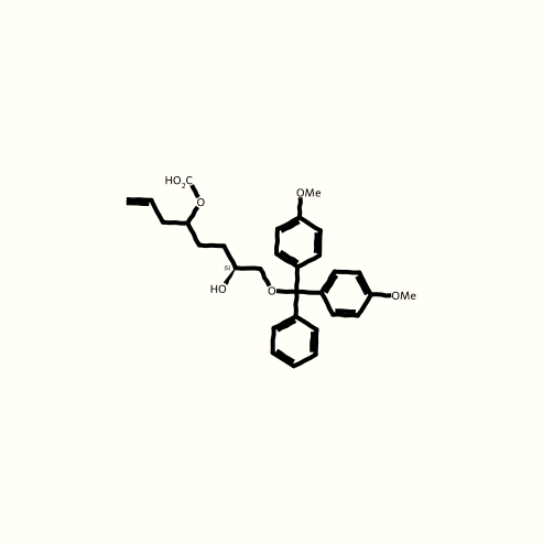 C=CCC(CC[C@H](O)COC(c1ccccc1)(c1ccc(OC)cc1)c1ccc(OC)cc1)OC(=O)O